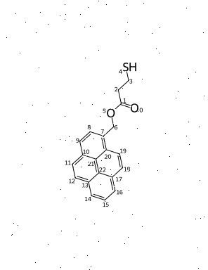 O=C(CCS)OCc1ccc2ccc3cccc4ccc1c2c34